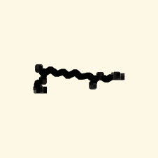 CC(C)(C)COC(=O)CCCCCCCC(=O)OCC(C)(C)C